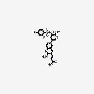 COc1ncc(-c2ccc3nc(N)c(/C=C/C(=O)O)cc3c2)cc1NS(=O)(=O)c1ccc(F)cc1F